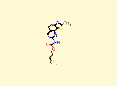 C=CCCOC(=O)Nc1ncc2c(n1)-c1sc(C)nc1CC2